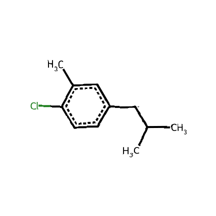 Cc1cc([CH]C(C)C)ccc1Cl